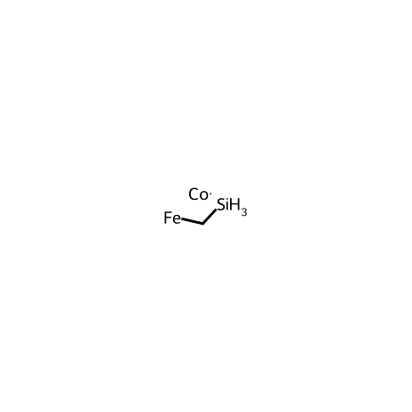 [Co].[SiH3][CH2][Fe]